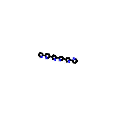 c1ccc(-c2ccc(-c3ccc(-c4ccc(-c5ccc(-c6ccccn6)nc5)cn4)nc3)cn2)nc1